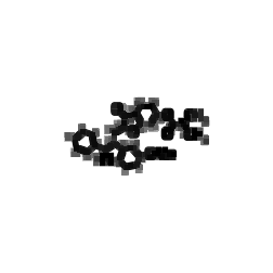 COc1ccc2[nH]c(-c3ccccc3)c(C=C3Oc4cc(OC(=O)N(C)C)ccc4C3=O)c2c1